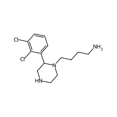 NCCCCN1CCNCC1c1cccc(Cl)c1Cl